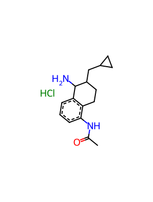 CC(=O)Nc1cccc2c1CCC(CC1CC1)C2N.Cl